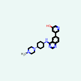 CN1CCN([C@H]2CC[C@H](Nc3ncnc4ccc(-c5cncc(O)c5)cc34)CC2)CC1